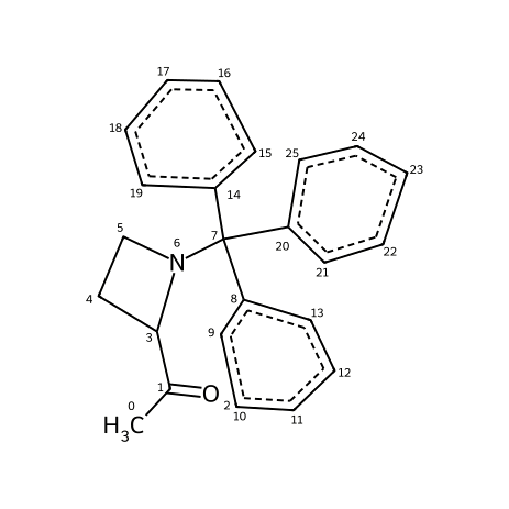 CC(=O)C1CCN1C(c1ccccc1)(c1ccccc1)c1ccccc1